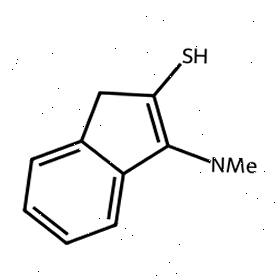 CNC1=C(S)Cc2ccccc21